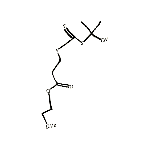 COCCOC(=O)CCSC(=S)SC(C)(C)C#N